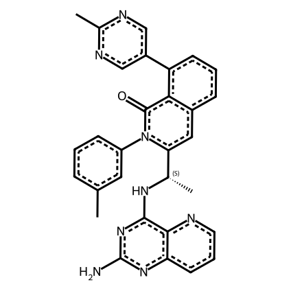 Cc1cccc(-n2c([C@H](C)Nc3nc(N)nc4cccnc34)cc3cccc(-c4cnc(C)nc4)c3c2=O)c1